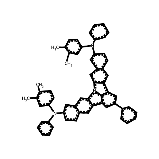 Cc1ccc(N(c2ccccc2)c2ccc3cc4c5cc(-c6ccccc6)cc6c7cc8ccc(N(c9ccccc9)c9ccc(C)c(C)c9)cc8cc7n(c4cc3c2)c56)cc1C